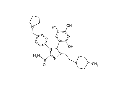 CC1CCN(CCN2N=C(C(N)=O)N(c3ccc(CN4CCCC4)cc3)C2c2cc(C(C)C)c(O)cc2O)CC1